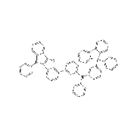 c1ccc(N(c2cccc(-c3cccc4c3sc3c5ccccc5n(-c5ccccc5)c43)c2)c2cccc(C3(c4ccccc4)c4ccccc4-c4ccccc43)c2)cc1